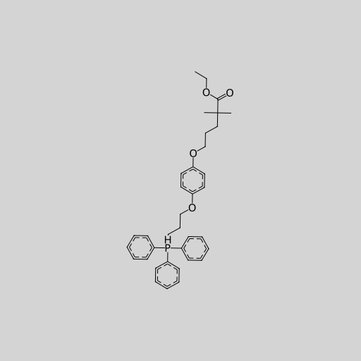 CCOC(=O)C(C)(C)CCCOc1ccc(OCCC[PH](c2ccccc2)(c2ccccc2)c2ccccc2)cc1